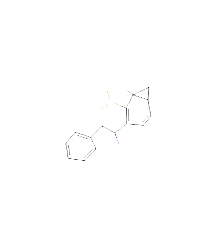 CC12CC1C=CC(C(I)Cc1ccccc1)=C2P(Cl)Cl